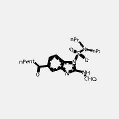 CCCCCC(=O)c1ccc2c(c1)nc(NC=O)n2S(=O)(=O)N(CCC)CCC